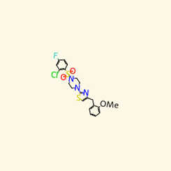 COc1ccccc1Cc1csc(N2CCN(S(=O)(=O)c3ccc(F)cc3Cl)CC2)n1